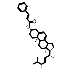 CC(C)[C@@H](C)/C=C/[C@@H](C)[C@H]1CCC2C3=CC=C4C[C@@H](OC(=O)C=Cc5ccccc5)CC[C@]4(C)C3CC[C@@]21C